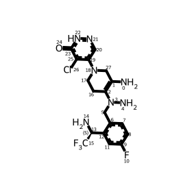 NC1=C(N(N)Cc2ccc(F)cc2[C@H](N)C(F)(F)F)CCN(c2cn[nH]c(=O)c2Cl)C1